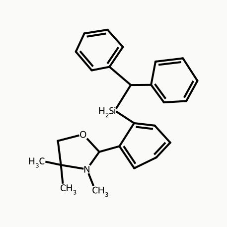 CN1C(c2ccccc2[SiH2]C(c2ccccc2)c2ccccc2)OCC1(C)C